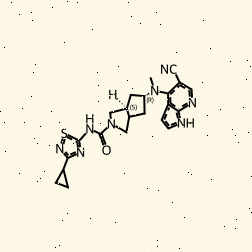 CN(c1c(C#N)cnc2[nH]ccc12)[C@@H]1CC2CN(C(=O)Nc3nc(C4CC4)ns3)C[C@H]2C1